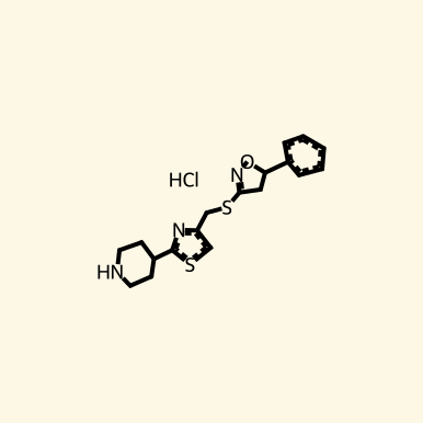 Cl.c1ccc(C2CC(SCc3csc(C4CCNCC4)n3)=NO2)cc1